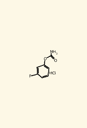 Cl.NC(=O)Oc1cccc(F)c1